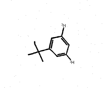 [2H]c1cc([2H])cc(C(C)(C)C)c1